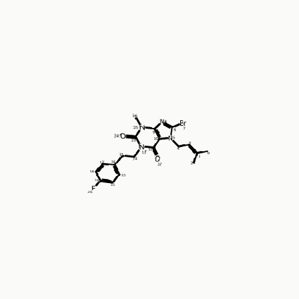 CC(C)=CCn1c(Br)nc2c1c(=O)n(CCc1ccc(F)cc1)c(=O)n2C